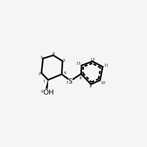 O[C@H]1CCCCC1Sc1ccccc1